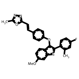 COc1ccc2c(Oc3ccc(C=Cc4nnc(C)o4)cc3)c(-c3ccc(F)cc3C)sc2c1